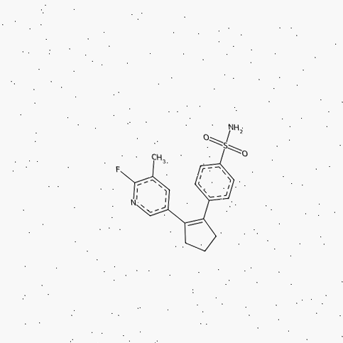 Cc1cc(C2=C(c3ccc(S(N)(=O)=O)cc3)CCC2)cnc1F